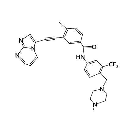 Cc1ccc(C(=O)Nc2ccc(CN3CCN(C)CC3)c(C(F)(F)F)c2)cc1C#Cc1cnc2ncccn12